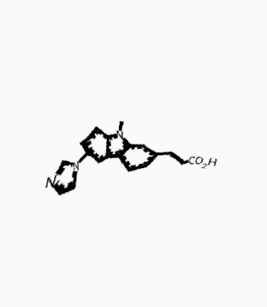 Cn1c2ccc(-n3ccnc3)cc2c2ccc(/C=C/C(=O)O)cc21